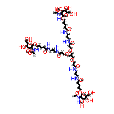 CC(=O)NC1C(OCCCCC(=O)NCCCNC(=O)CCOCC(COCCC(=O)NCCCNC(=O)CCCCOC2OC(CO)C(O)C(O)C2NC(C)=O)COCCC(=O)NCCCNC(=O)CCCCOC2OC(CO)C(O)C(O)C2NC(C)=O)OC(CO)C(O)C1O